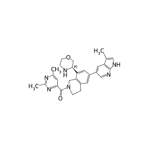 Cc1cc(C(=O)N2CCc3cc(-c4cnc5[nH]cc(C)c5c4)cc([C@@H]4COCCN4)c3C2)nc(C)n1